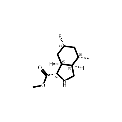 COC(=O)[C@H]1NC[C@H]2[C@@H]1C[C@H](F)C[C@@H]2C